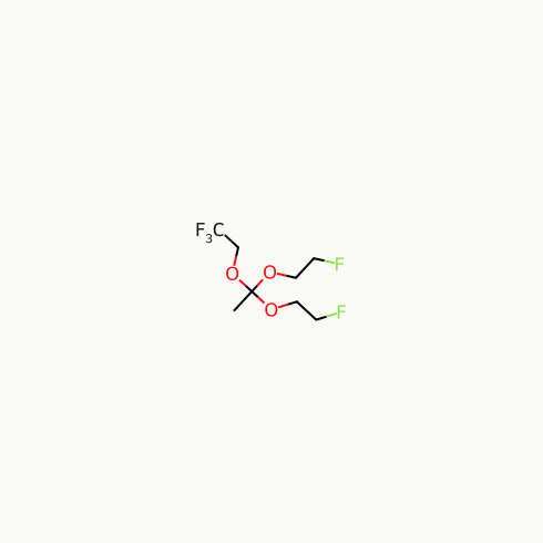 CC(OCCF)(OCCF)OCC(F)(F)F